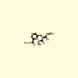 COC(=O)c1cncc(CN(C(=O)OC(C)(C)C)C(=O)OC(C)(C)C)n1